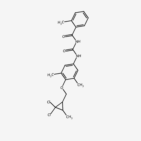 Cc1ccccc1C(=O)NC(=O)Nc1cc(C)c(OCC2C(C)C2(Cl)Cl)c(C)c1